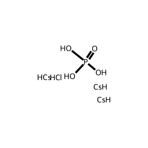 Cl.O=P(O)(O)O.[CsH].[CsH].[CsH]